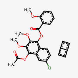 COc1ccccc1C(=O)Oc1c(OC)c(OC)c(OC(C)=O)c2cc(Cl)ccc12.c1cc2ccc1-2